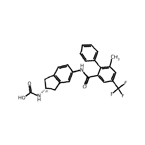 Cc1cc(C(F)(F)F)cc(C(=O)Nc2ccc3c(c2)C[C@H](NC(=O)O)C3)c1-c1ccccc1